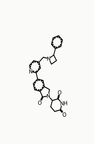 O=C1CCC(N2Cc3cc(-c4cc(CN5CCC5c5ccccc5)ccn4)ccc3C2=O)C(=O)N1